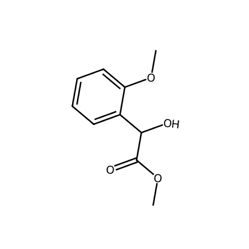 COC(=O)C(O)c1ccccc1OC